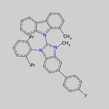 Cc1cccc2c3ccccc3n(-c3n(-c4c(C(C)C)cccc4C(C)C)c4ccc(-c5ccc(F)cc5)cc4[n+]3C)c12